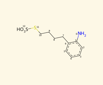 Nc1ccccc1CCCCSS(=O)(=O)O